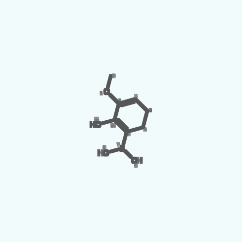 COC1=CCCC(B(O)O)=C1O